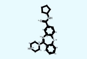 O=C(NC1CCCC1)c1ccc2c(c1)N=C(N1CCNCC1)c1ccccc1S2